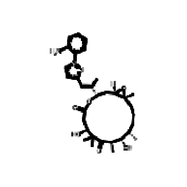 C/C(=C\c1ccn(-c2ccccc2N)n1)[C@@H]1C[C@@H]2O[C@]2(C)CCC[C@H](C)[C@H](O)[C@@H](C)C(=O)C(C)(C)[C@@H](O)CC(=O)O1